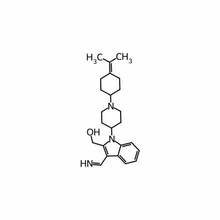 CC(C)=C1CCC(N2CCC(n3c(CO)c(C=N)c4ccccc43)CC2)CC1